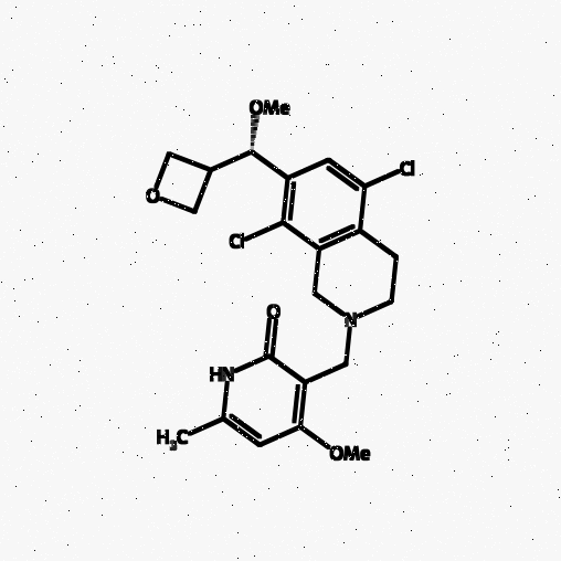 COc1cc(C)[nH]c(=O)c1CN1CCc2c(Cl)cc([C@@H](OC)C3COC3)c(Cl)c2C1